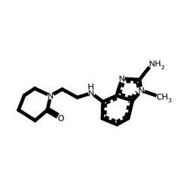 Cn1c(N)nc2c(NCCN3CCCCC3=O)cccc21